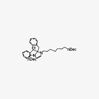 CCCCCCCCCCCCCCCCCN1C=CN(CCCCCCCCCCC)C1(Cc1ccccc1)C(CC)c1ccccc1